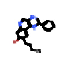 CC(Nc1c(N)cnc2cc(Br)c(CCCC#N)cc12)c1ccccc1